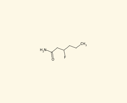 CCCC(F)CC(N)=O